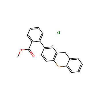 COC(=O)c1ccccc1C1=[C+]C2=C(C=C1)Sc1ccccc1C2.[Cl-]